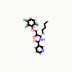 CCCCC[C@H](NC(=O)c1cccnc1)C(=O)COc1c(F)ccc(F)c1F